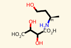 C[C@@H](N)CCO.O=C(O)C(O)C(O)C(=O)O